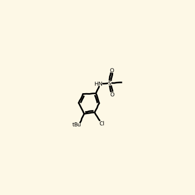 CC(C)(C)c1ccc(NS(C)(=O)=O)cc1Cl